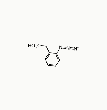 [N-]=[N+]=Nc1ccccc1CC(=O)O